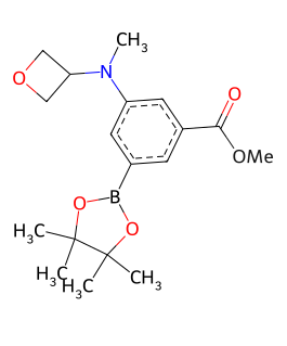 COC(=O)c1cc(B2OC(C)(C)C(C)(C)O2)cc(N(C)C2COC2)c1